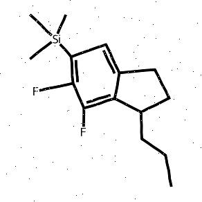 CCCC1CCc2cc([Si](C)(C)C)c(F)c(F)c21